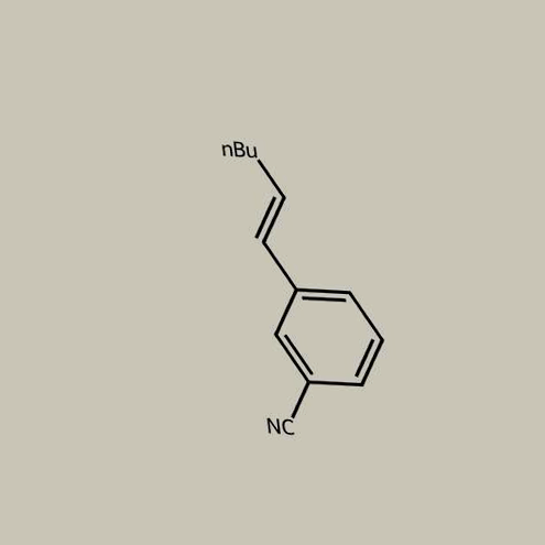 CCCCC=Cc1cccc(C#N)c1